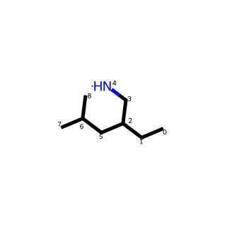 CCC(C[NH])CC(C)C